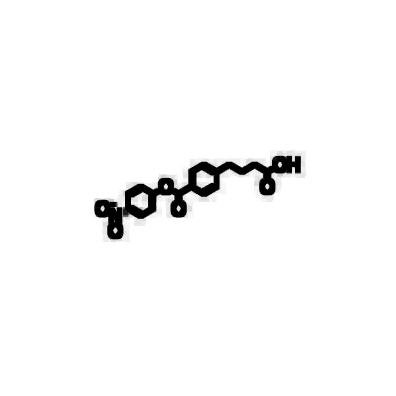 O=C(O)CCCc1ccc(C(=O)Oc2ccc([N+](=O)[O-])cc2)cc1